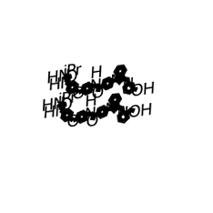 CC(C)NC(=O)Nc1ccc(Oc2ccc(NC(=O)c3ccc(-n4cc(CN5CCCC(O)C5)c5ccccc54)cc3)cc2)cc1.CC(C)NC(=O)Nc1ccc(Oc2ccc(NC(=O)c3ccc(-n4cc(CN5CCCCC5CO)c5ccccc54)cc3)cc2)cc1